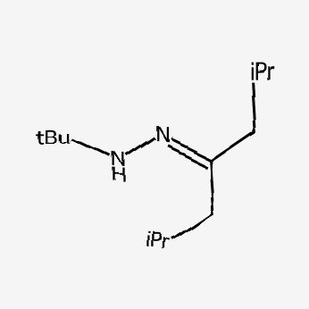 CC(C)CC(CC(C)C)=NNC(C)(C)C